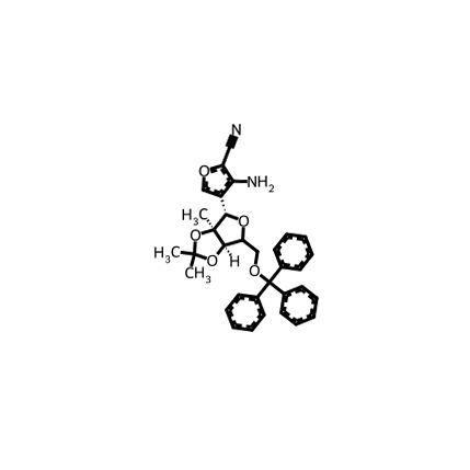 CC1(C)O[C@@H]2C(COC(c3ccccc3)(c3ccccc3)c3ccccc3)O[C@@H](c3coc(C#N)c3N)[C@]2(C)O1